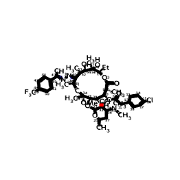 CC[C@H]1OC(=O)[C@H](C)[C@@H](OC(=O)Cc2ccc(Cl)cc2)[C@H](C)[C@@H](OC2OC(C)CC(N(C)C)C2O)[C@](C)(OC)C[C@@H](C)/C(=N\N=C(/C)c2ccc(C(F)(F)F)cc2)[C@H](C)[C@@H](O)[C@]1(C)O